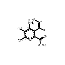 COC(=O)c1nc(Cl)c(Cl)c(N)c1/C(F)=C\F